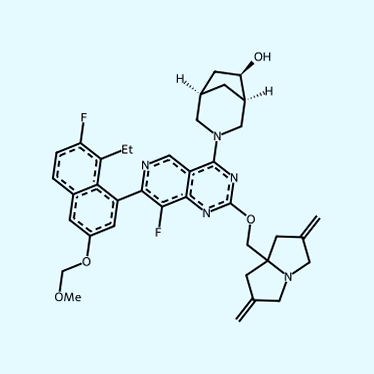 C=C1CN2CC(=C)CC2(COc2nc(N3C[C@@H]4C[C@H](C3)[C@H](O)C4)c3cnc(-c4cc(OCOC)cc5ccc(F)c(CC)c45)c(F)c3n2)C1